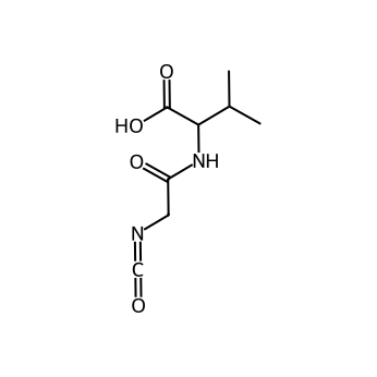 CC(C)C(NC(=O)CN=C=O)C(=O)O